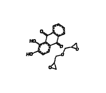 C(OCC1CO1)C1CO1.O=C1c2ccccc2C(=O)c2c1ccc(O)c2O